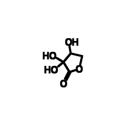 O=C1OCC(O)C1(O)O